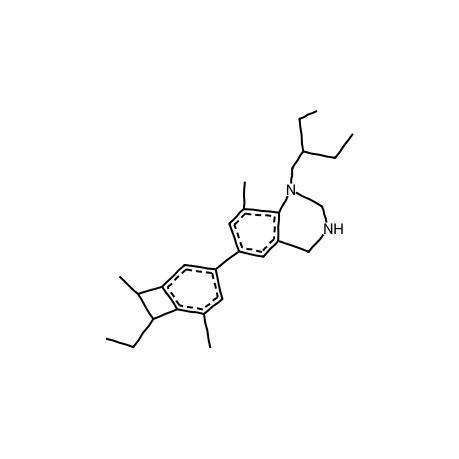 CCC(CC)CN1CNCc2cc(-c3cc(C)c4c(c3)C(C)C4CC)cc(C)c21